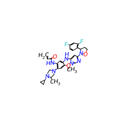 C=CC(=O)Nc1cc(Nc2cc(N3OCCC3c3ccc(F)cc3F)ncn2)c(OC)cc1N1CCN(C2CC2)C(C)C1